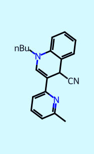 CCCCN1C=C(c2cccc(C)n2)C(C#N)c2ccccc21